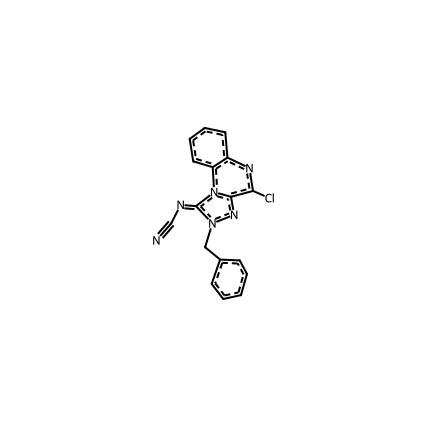 N#CN=c1n(Cc2ccccc2)nc2c(Cl)nc3ccccc3n12